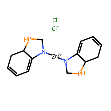 C1=CCC2PC[N]([Zr+2][N]3CPC4CC=CC=C43)C2=C1.[Cl-].[Cl-]